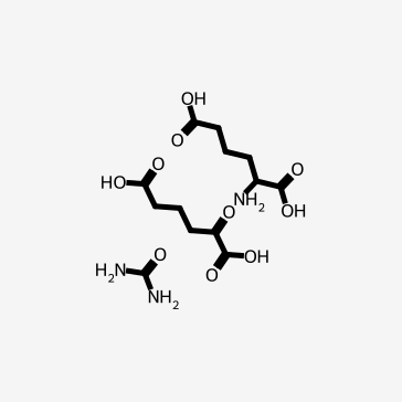 NC(CCCC(=O)O)C(=O)O.NC(N)=O.O=C(O)CCCC(=O)C(=O)O